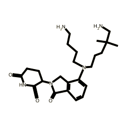 CC(C)(CN)CCCN(CCCCN)c1cccc2c1CN(C1CCC(=O)NC1=O)C2=O